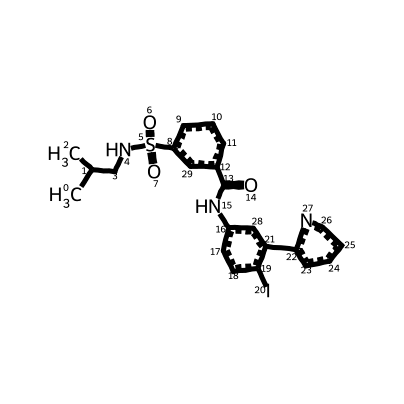 CC(C)CNS(=O)(=O)c1cccc(C(=O)Nc2ccc(I)c(-c3ccccn3)c2)c1